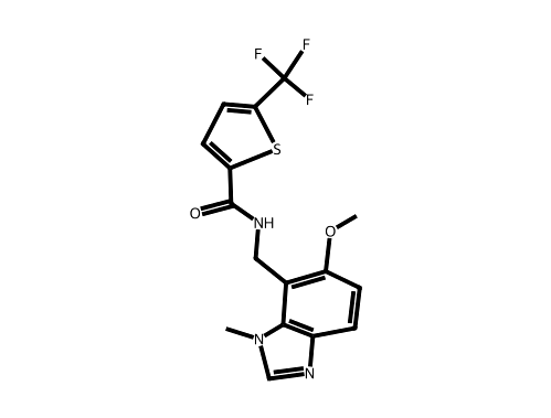 COc1ccc2ncn(C)c2c1CNC(=O)c1ccc(C(F)(F)F)s1